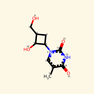 Cc1cn(C2CC(CO)C2O)c(=O)[nH]c1=O